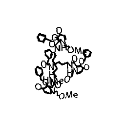 COCCn1ccc(=O)c(OCc2ccccc2)c1C(=O)NCCCC(CCCNC(=O)c1c(OCc2ccccc2)c(=O)ccn1CCOC)(CCCNC(=O)c1c(OCc2ccccc2)c(=O)ccn1CCOC)NC(=O)c1ccccc1